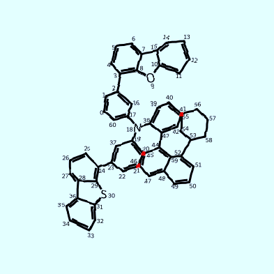 c1cc(-c2cccc3c2oc2ccccc23)cc(N(c2cccc(-c3cccc4c3sc3ccccc34)c2)c2ccccc2-c2cccc3cccc(C4CCCCC4)c23)c1